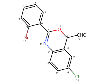 O=CC1OC(c2ccccc2Br)=Nc2ccc(Cl)cc21